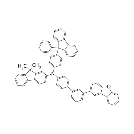 CC1(C)c2ccccc2-c2ccc(N(c3ccc(-c4cccc(-c5ccc6oc7ccccc7c6c5)c4)cc3)c3ccc(C4(c5ccccc5)c5ccccc5-c5ccccc54)cc3)cc21